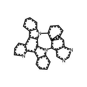 c1ccc(-n2c3ccccc3c3c4cccnc4c4c5ccccc5n(-c5cccc6ncncc56)c4c32)cc1